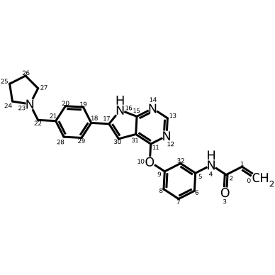 C=CC(=O)Nc1cccc(Oc2ncnc3[nH]c(-c4ccc(CN5CCCC5)cc4)cc23)c1